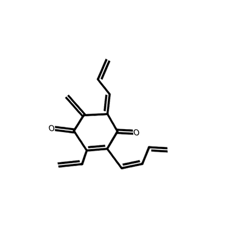 C=C/C=C\C1=C(C=C)C(=O)C(=C)/C(=C\C=C)C1=O